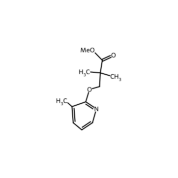 COC(=O)C(C)(C)COc1ncccc1C